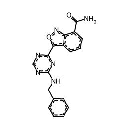 NC(=O)c1cccc2c(-c3ncnc(NCc4ccccc4)n3)onc12